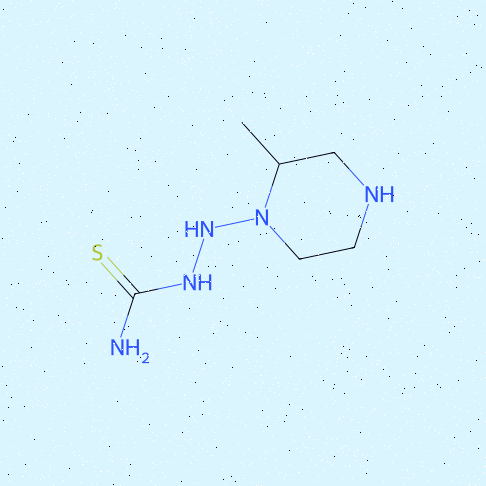 CC1CNCCN1NNC(N)=S